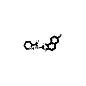 O=C(Nc1nc2ccc3cc(F)ccc3c2s1)C1CCCCN1